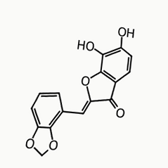 O=C1/C(=C/c2cccc3c2OCO3)Oc2c1ccc(O)c2O